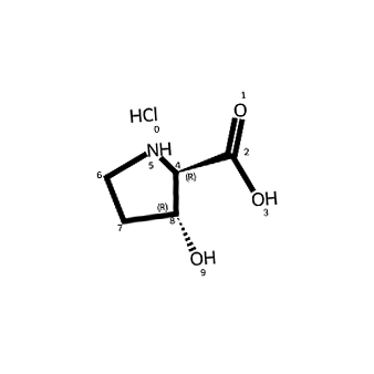 Cl.O=C(O)[C@@H]1NCC[C@H]1O